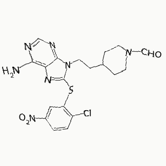 Nc1ncnc2c1nc(Sc1cc([N+](=O)[O-])ccc1Cl)n2CCC1CCN(C=O)CC1